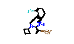 CC(Br)C1N=c2cccc(F)c2=CN1C1CCC1